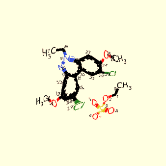 CCOS(=O)(=O)[O-].CC[n+]1nc2cc(OC)c(Cl)cc2c2cc(Cl)c(OC)cc21